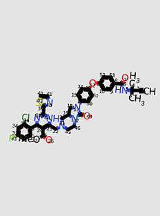 C#CC(C)(C)NC(=O)c1ccc(Oc2ccc(N3CC4CN(CC5=C(C(=O)OC)C(c6ccc(F)cc6Cl)N=C(c6nccs6)N5)CCN4C3=O)cc2)cc1